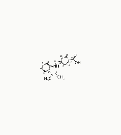 CCC(C)c1ccccc1NCc1ccc(C(=O)O)cc1